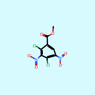 COC(=O)c1cc([N+](=O)[O-])c(Cl)c([N+](=O)[O-])c1Cl